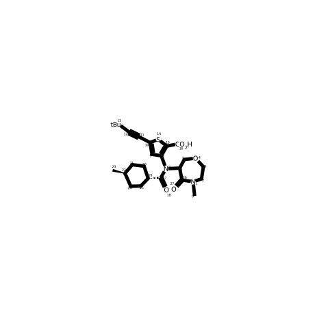 CN1CCOCC(N(c2cc(C#CC(C)(C)C)sc2C(=O)O)C(=O)[C@H]2CC[C@H](C)CC2)C1=O